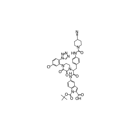 CC(C)(C)OC(=O)n1c(C(=O)O)cc2cc(NC(=O)C(Cc3ccc(NC(=O)N4CCC(C#N)CC4)cc3)N3CCN(c4cc(Cl)ccc4-n4cnnn4)C(=O)C3=O)ccc21